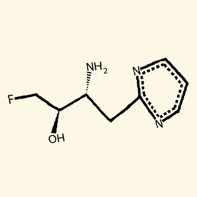 N[C@H](Cc1ncccn1)[C@@H](O)CF